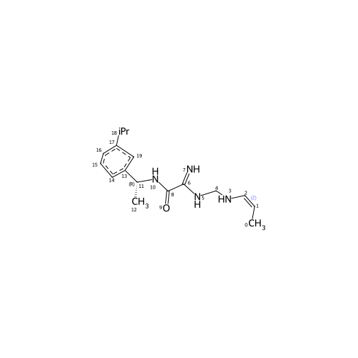 C/C=C\NCNC(=N)C(=O)N[C@H](C)c1cccc(C(C)C)c1